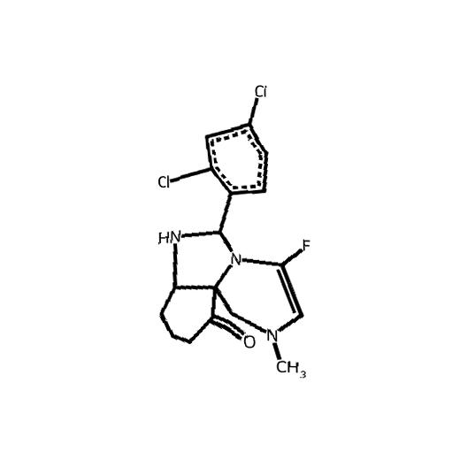 CN1C=C(F)N2C(c3ccc(Cl)cc3Cl)NC3CCCC(=O)C32C1